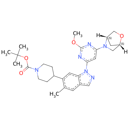 COc1nc(N2C[C@@H]3C[C@H]2CO3)cc(-n2ncc3cc(C)c(C4CCN(C(=O)OC(C)(C)C)CC4)cc32)n1